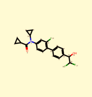 O=C(C1CC1)N(c1ccc(-c2ccc(C(O)C(F)F)cc2)c(F)c1)C1CC1